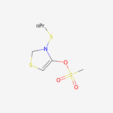 CCCSN1CSC=C1OS(C)(=O)=O